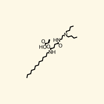 C=CC(=O)O.CCCCCCCCCCCCNC(=O)CCC(=O)NCCN(CCCC)CCCC